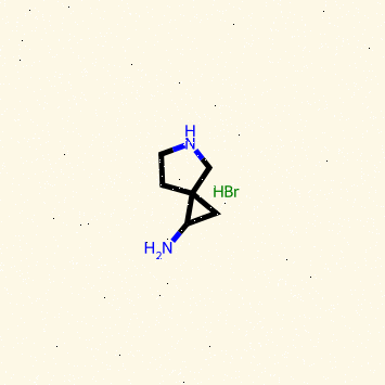 Br.NC1CC12CCNC2